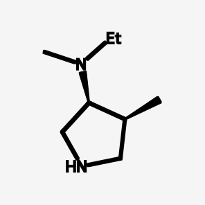 CCN(C)[C@@H]1CNC[C@@H]1C